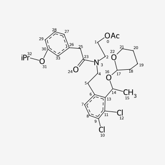 CC(=O)OCCN(CCc1ccc(Cl)c(Cl)c1C(C)OC1CCCCO1)C(=O)Cc1cccc(OC(C)C)c1